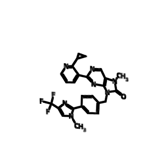 Cn1cc(C(F)(F)F)nc1-c1ccc(Cn2c(=O)n(C)c3cnc(-c4cccnc4C4CC4)nc32)cc1